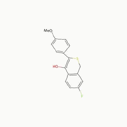 COc1ccc(C2=C(O)c3ccc(F)cc3CS2)cc1